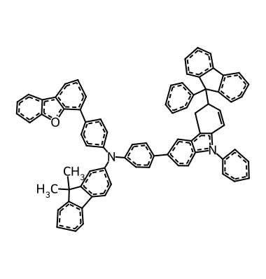 CC1(C)c2ccccc2-c2ccc(N(c3ccc(-c4ccc5c(c4)c4c(n5-c5ccccc5)C=CC(C5(c6ccccc6)c6ccccc6-c6ccccc65)C4)cc3)c3ccc(-c4cccc5c4oc4ccccc45)cc3)cc21